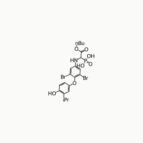 CCCCOC(=O)C(Nc1cc(Br)c(Oc2ccc(O)c(C(C)C)c2)c(Br)c1)P(=O)(O)O